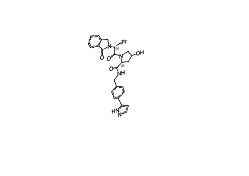 CC(C)[C@@H](C(=O)N1CC(O)C[C@H]1C(=O)NCc1ccc(-c2ccn[nH]2)cc1)N1Cc2ccccc2C1=O